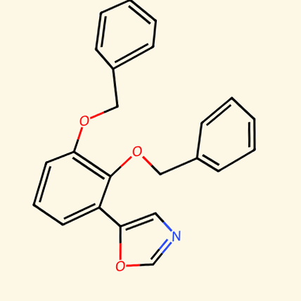 c1ccc(COc2cccc(-c3cnco3)c2OCc2ccccc2)cc1